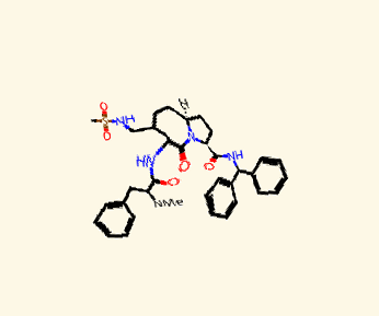 CNC(Cc1ccccc1)C(=O)NC1C(=O)N2[C@@H](CCC1CNS(C)(=O)=O)CC[C@H]2C(=O)NC(c1ccccc1)c1ccccc1